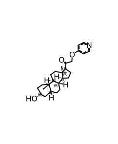 C[C@]12CC[C@@H](O)C[C@H]1CC[C@@H]1[C@@H]2CC[C@]2(C)[C@@H](C(=O)COc3ccncc3)CC[C@@H]12